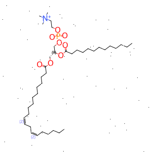 CCCCC/C=C\C/C=C\CCCCCCCCCC(=O)OC[C@H](COP(=O)([O-])OCC[N+](C)(C)C)OC(=O)CCCCCCCCCCCC